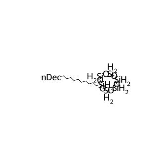 CCCCCCCCCCCCCCCCCCCC[SiH]1O[SiH2]O[SiH2]O[SiH2]O[SiH2]O[SiH2]O1